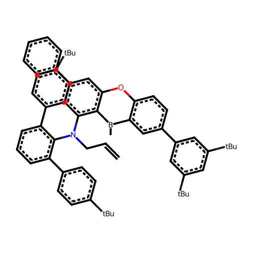 C=CCN(c1cc(-c2ccccc2)cc2c1B(C)c1cc(-c3cc(C(C)(C)C)cc(C(C)(C)C)c3)ccc1O2)c1c(-c2ccc(C(C)(C)C)cc2)cccc1-c1ccc(C(C)(C)C)cc1